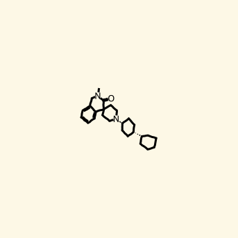 CN1Cc2ccccc2C2(CCN([C@H]3CC[C@@H](C4CCCCC4)CC3)CC2)C1=O